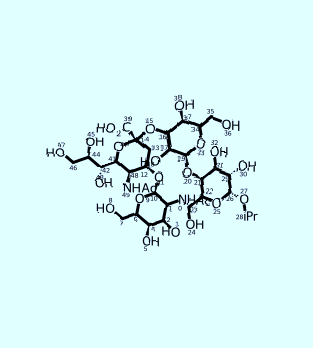 CC(=O)NC1C(O)[C@@H](O)C(CO)O[C@H]1O[C@@H]1C[C@](OC2C(O)[C@H](O[C@@H]3C(CO)O[C@@H](OC(C)C)[C@@H](O)C3O)OC(CO)[C@@H]2O)(C(=O)O)OC([C@H](O)[C@H](O)CO)[C@@H]1NC(C)=O